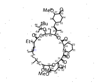 CCC1/C=C(\C)CC(C)CC(OC)C2OC(O)(C(=O)C(=O)N3CCCCC3C(=O)OC(C(C)=CC3CCC(=O)C(OC)C3)C(C)C(O[Si](C)(C)C(C)(C)C)CC1=O)C(C)CC2OC